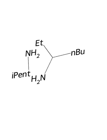 CCCC(C)N.CCCCC(N)CC